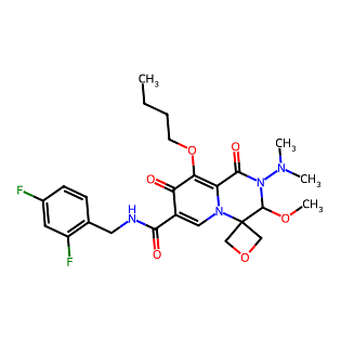 CCCCOc1c2n(cc(C(=O)NCc3ccc(F)cc3F)c1=O)C1(COC1)C(OC)N(N(C)C)C2=O